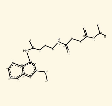 COc1cc(NC(C)CCCNC(=O)CCC(=O)OC(C)C)c2ncccc2c1